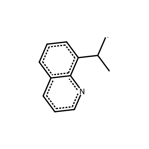 [CH2]C(C)c1cccc2cccnc12